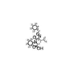 CC(C)CC(=NOCc1ccccc1)C(=O)N(CC(=O)O)c1ccccc1